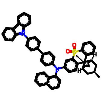 C[C@H]1C[C@@H]2C[C@@H](C)C[C@H](C1)C21c2ccccc2S(=O)(=O)c2cc(N(c3ccc(-c4ccc(-n5c6ccccc6c6ccccc65)cc4)cc3)c3cccc4ccccc34)ccc21